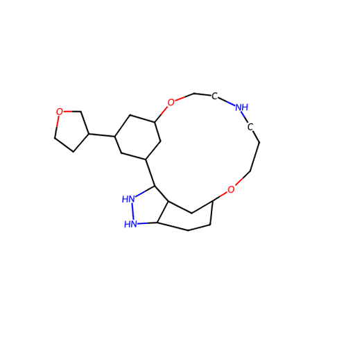 C1CNCCOC2CC(C3CCOC3)CC(C2)C2NNC3CCC(CC32)OC1